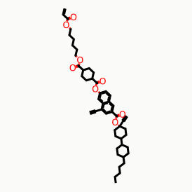 C#Cc1cc(C(=O)OC2(C#C)CCC(C3CCC(CCCCC)CC3)CC2)cc2ccc(OC(=O)C3CCC(C(=O)OCCCCCCOC(=O)C=C)CC3)cc12